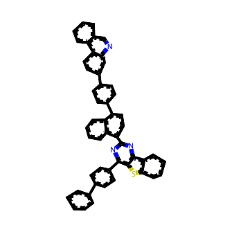 c1ccc(-c2ccc(-c3nc(-c4ccc(-c5ccc(-c6ccc7c(c6)ncc6ccccc67)cc5)c5ccccc45)nc4c3sc3ccccc34)cc2)cc1